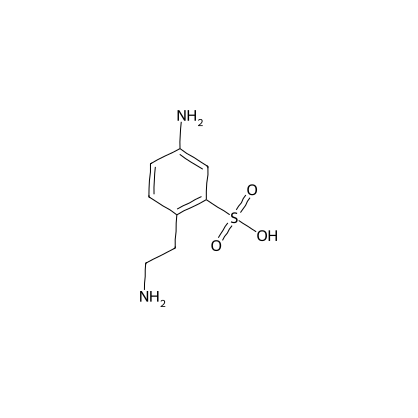 NCCc1ccc(N)cc1S(=O)(=O)O